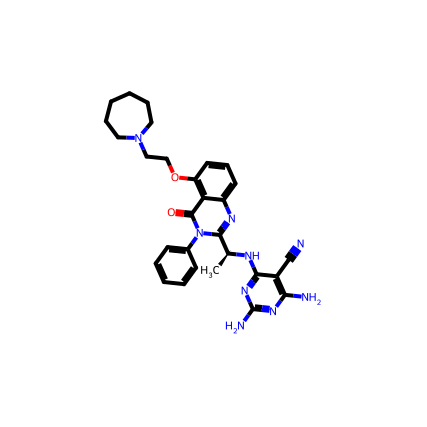 C[C@H](Nc1nc(N)nc(N)c1C#N)c1nc2cccc(OCCN3CCCCCC3)c2c(=O)n1-c1ccccc1